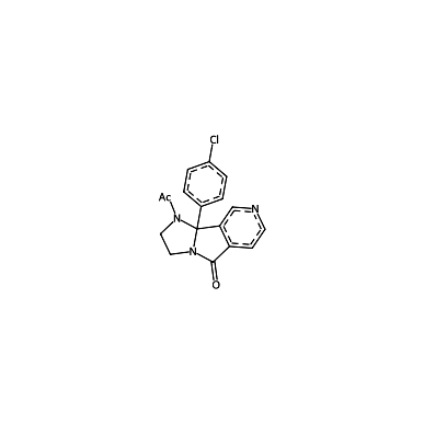 CC(=O)N1CCN2C(=O)c3ccncc3C12c1ccc(Cl)cc1